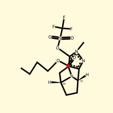 CCCCOC(=O)N1[C@@H]2CC[C@H]1c1nn(C)c(OS(=O)(=O)C(F)(F)F)c1C2